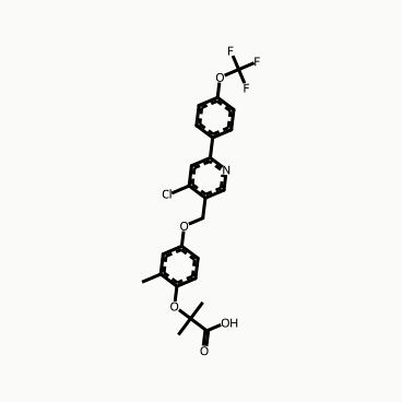 Cc1cc(OCc2cnc(-c3ccc(OC(F)(F)F)cc3)cc2Cl)ccc1OC(C)(C)C(=O)O